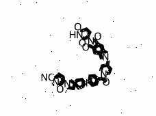 C[C@H]1CC2(CCN(c3ccc(C(=O)N4CCC(CN5Cc6cc7c(cc6C5)C(=O)N(C5CCC(=O)NC5=O)C7=O)CC4)cc3)CC2)CN1c1ccc(C#N)n(C)c1=O